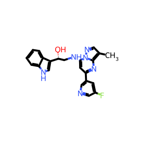 Cc1cnn2c(NC[C@@H](O)c3c[nH]c4ccccc34)cc(-c3cncc(F)c3)nc12